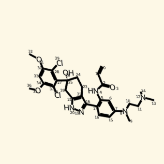 C=CC(=O)Nc1cc(N(C)CCN(C)C)ccc1-c1n[nH]c2c1CC[C@](O)(c1c(Cl)c(OC)cc(OC)c1Cl)C2